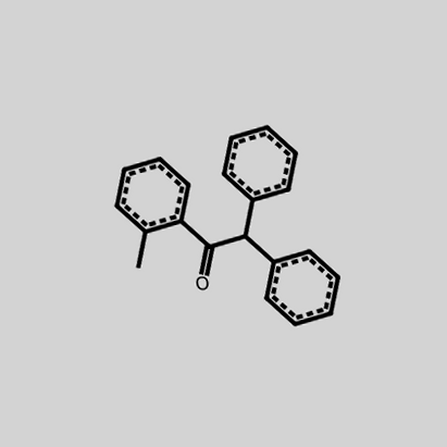 Cc1ccccc1C(=O)C(c1ccccc1)c1ccccc1